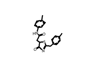 Cc1ccc(CC2=NC(=O)C(CC(=O)Nc3ccc(C)cc3)S2)cc1